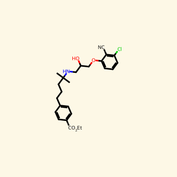 CCOC(=O)c1ccc(CCCC(C)(C)NCC(O)COc2cccc(Cl)c2C#N)cc1